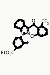 CCOC(=O)c1ccc(-n2nc(C(=O)c3c(Cl)cccc3C(F)(F)F)c3ccccc32)c(F)c1